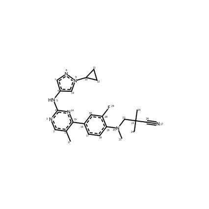 Cc1cnc(Nc2cnn(C3CC3)c2)nc1-c1ccc(N(C)CC(C)(C)C#N)c(F)c1